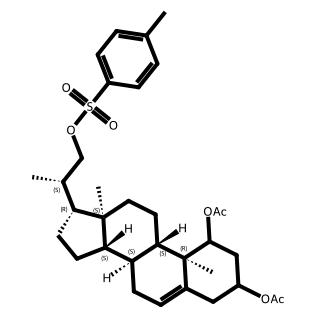 CC(=O)OC1CC2=CC[C@H]3[C@@H]4CC[C@H]([C@H](C)COS(=O)(=O)c5ccc(C)cc5)[C@@]4(C)CC[C@@H]3[C@@]2(C)C(OC(C)=O)C1